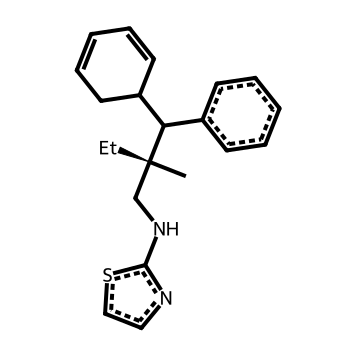 CC[C@@](C)(CNc1nccs1)C(c1ccccc1)C1C=CC=CC1